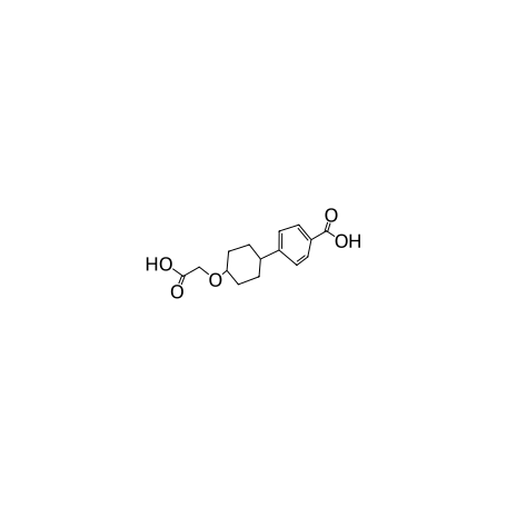 O=C(O)COC1CCC(c2ccc(C(=O)O)cc2)CC1